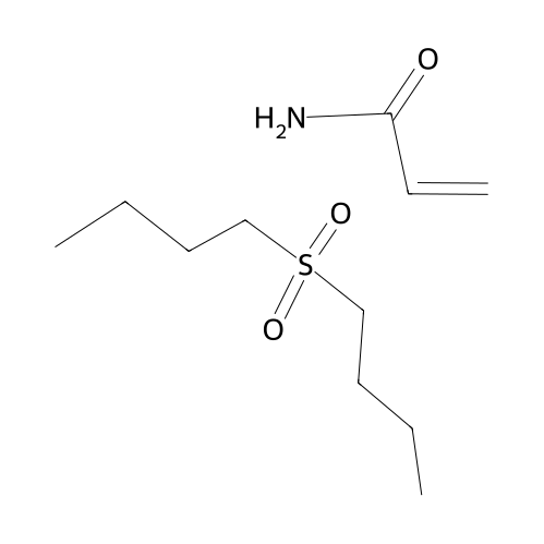 C=CC(N)=O.CCCCS(=O)(=O)CCCC